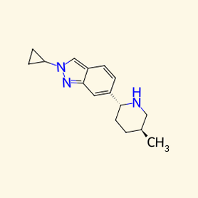 C[C@H]1CC[C@H](c2ccc3cn(C4CC4)nc3c2)NC1